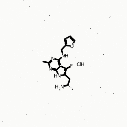 Cc1nc(NCc2ccco2)c2c(F)c(C[C@H](C)N)[nH]c2n1.Cl